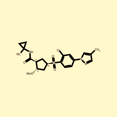 CO[C@H]1C[C@H](S(=O)(=O)c2ccc(-n3cc(C)cn3)cc2Cl)C[C@@H]1C(=O)NC1(C#N)CC1